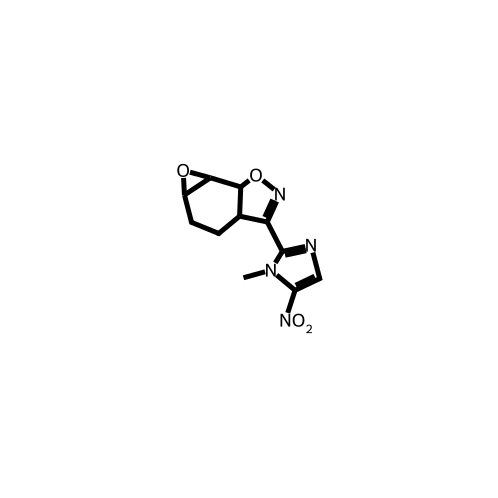 Cn1c([N+](=O)[O-])cnc1C1=NOC2C1CCC1OC12